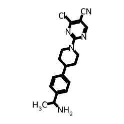 CC(N)c1ccc(C2CCN(c3ncc(C#N)c(Cl)n3)CC2)cc1